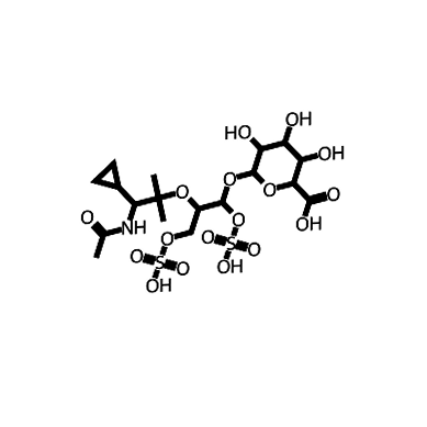 CC(=O)NC(C1CC1)C(C)(C)OC(COS(=O)(=O)O)C(OC1OC(C(=O)O)C(O)C(O)C1O)OS(=O)(=O)O